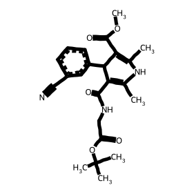 COC(=O)C1=C(C)NC(C)=C(C(=O)NCC(=O)OC(C)(C)C)C1c1cccc(C#N)c1